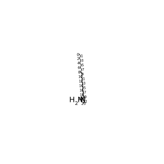 CCCCCCCCC=CCCCCCCCCCCN(N)CC